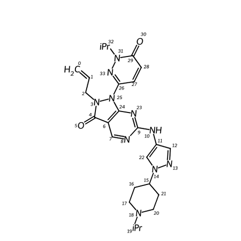 C=CCn1c(=O)c2cnc(Nc3cnn(C4CCN(C(C)C)CC4)c3)nc2n1-c1ccc(=O)n(C(C)C)n1